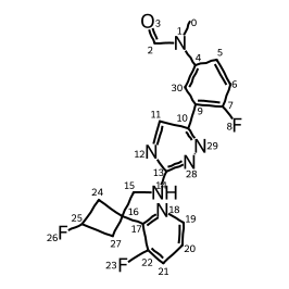 CN(C=O)c1ccc(F)c(-c2cnc(NCC3(c4ncccc4F)CC(F)C3)nn2)c1